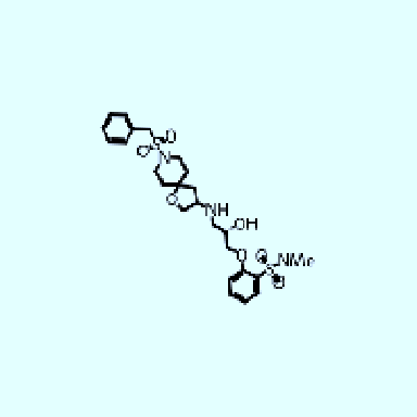 CNS(=O)(=O)c1ccccc1OC[C@@H](O)CNC1COC2(CCN(S(=O)(=O)Cc3ccccc3)CC2)C1